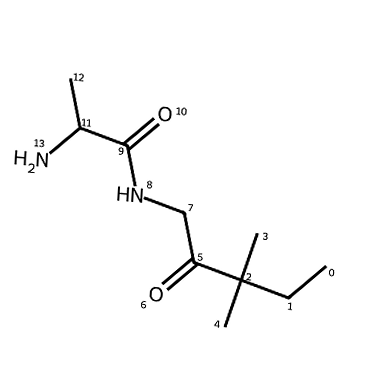 CCC(C)(C)C(=O)CNC(=O)C(C)N